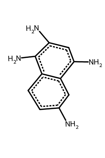 Nc1ccc2c(N)c(N)cc(N)c2c1